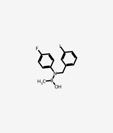 CB(O)N(Cc1cccc(I)c1)c1ccc(F)cc1